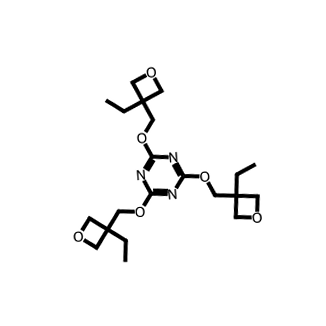 CCC1(COc2nc(OCC3(CC)COC3)nc(OCC3(CC)COC3)n2)COC1